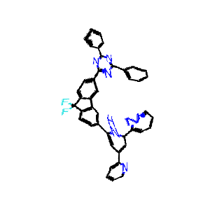 FC1(F)c2ccc(C3=CC(c4ccccn4)=CC(c4ccccn4)N3)cc2-c2cc(-c3nc(-c4ccccc4)nc(-c4ccccc4)n3)ccc21